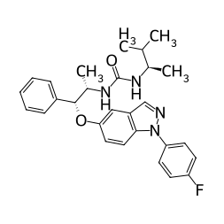 CC(C)[C@@H](C)NC(=O)N[C@@H](C)[C@H](Oc1ccc2c(cnn2-c2ccc(F)cc2)c1)c1ccccc1